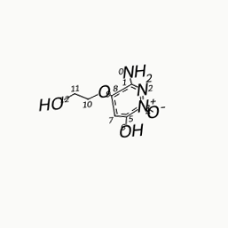 Nc1n[n+]([O-])c(O)cc1OCCO